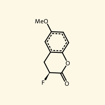 COc1ccc2c(c1)C[C@H](F)C(=O)O2